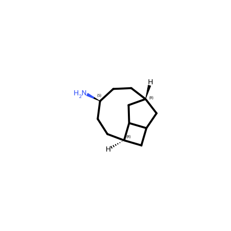 N[C@H]1CC[C@@H]2CC3C[C@@H](CC1)C3C2